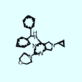 c1ccc(C(Nc2nc(N3CCOCC3)nc3c2CN(C2CC2)C3)c2ccccc2)cc1